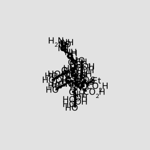 CCSSC[C@H](NC(=O)[C@H](CCC(=O)NC[C@H](O)[C@@H](O)[C@H](O)[C@H](O)CO)NC(=O)[C@H](CCC(=O)O)NC(=O)[C@H](CCC(=O)NC[C@H](O)[C@@H](O)[C@H](O)[C@H](O)CO)NC(=O)[C@H](CCC(=O)NCC[C@@H](O)C[C@H](O)CO)NC(=O)[C@H](CCC(=O)O)NC(=O)[C@H](CCC(=O)NCC[C@@H](O)[C@H](O)[C@H](O)CO)NC(=O)CC[C@@H](C)NC(=O)c1ccc(NCc2cnc3nc(N)[nH]c(=O)c3n2)cc1)C(=O)O